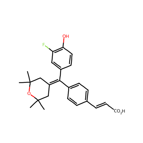 CC1(C)CC(=C(c2ccc(/C=C/C(=O)O)cc2)c2ccc(O)c(F)c2)CC(C)(C)O1